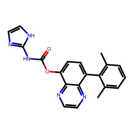 Cc1cccc(C)c1-c1ccc(OC(=O)Nc2ncc[nH]2)c2nccnc12